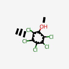 C=C.C=C.C=C.C=C.Oc1c(Cl)c(Cl)c(Cl)c(Cl)c1Cl